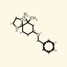 CC1(C)CC(OCc2ccccc2)CCC12OCCO2